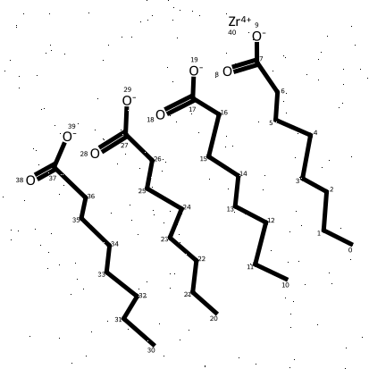 CCCCCCCC(=O)[O-].CCCCCCCC(=O)[O-].CCCCCCCC(=O)[O-].CCCCCCCC(=O)[O-].[Zr+4]